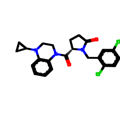 O=C([C@@H]1CCC(=O)N1Cc1cc(Cl)ccc1Cl)N1CCN(C2CC2)c2ccccc21